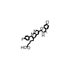 C[C@H](NC(=O)c1cnc2nc(-c3ccc(F)cc3)c(CCCCC(=O)O)cc2c1)c1ccc(Cl)cc1